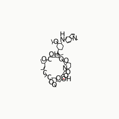 CCC1/C=C(\C)CC(C)CC(OC)C2OC(O)(C(=O)C(=O)N3CCCCC3C(=O)OC(C(C)=CC3CCC(Nc4ccc5c(ccn5C)c4)C(OC(C)C)C3)C(C)C(O)CC1=O)C(C)CC2OC